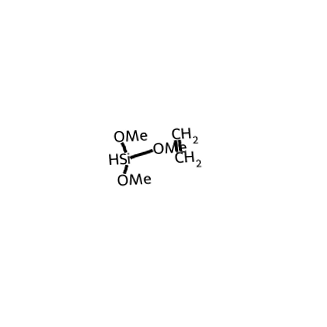 C=C.CO[SiH](OC)OC